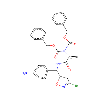 C[C@@H](C(=O)NC(c1ccc(N)cc1)C1CC(Br)=NO1)N(C(=O)OCc1ccccc1)C(=O)OCc1ccccc1